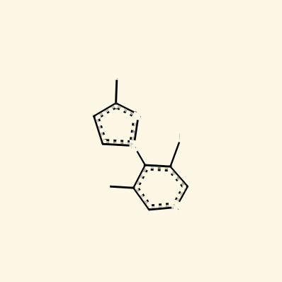 Cc1ccn(-c2c(F)cncc2F)n1